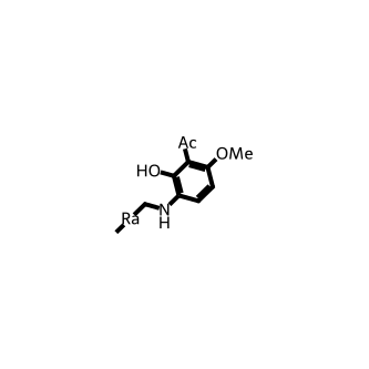 COc1ccc(N[CH2][Ra][CH3])c(O)c1C(C)=O